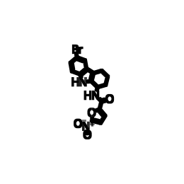 O=C(NC1CCCc2c1[nH]c1ccc(Br)cc21)c1ccc([N+](=O)[O-])o1